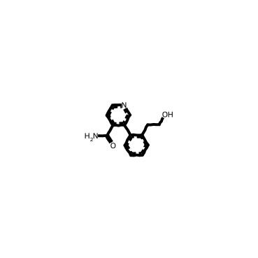 NC(=O)c1ccncc1-c1ccccc1CCO